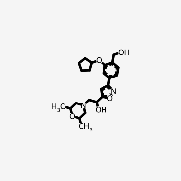 CC1CN(CC(O)c2cc(-c3ccc(CO)c(OC4CCCC4)c3)no2)CC(C)O1